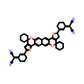 N#CC(C#N)=C1C=C(c2cc3c(s2)C2=CC4C=C5OC6(CCCCC6)C6=C(SC(C7=CC(=C(C#N)C#N)CCC7)C6)C5=CC4C=C2OC32CCCCC2)CCC1